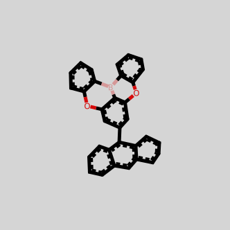 c1ccc2c(c1)Oc1cc(-c3c4ccccc4cc4ccccc34)cc3c1B2c1ccccc1O3